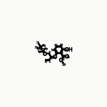 C=CC(CO[Si](C)(C)C(C)(C)C)Oc1cccc(O)c1C(=O)OC